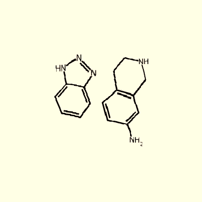 Nc1ccc2c(c1)CNCC2.c1ccc2[nH]nnc2c1